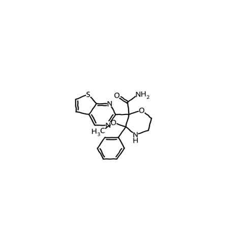 COC1(c2ccccc2)NCCOC1(C(N)=O)c1ncc2ccsc2n1